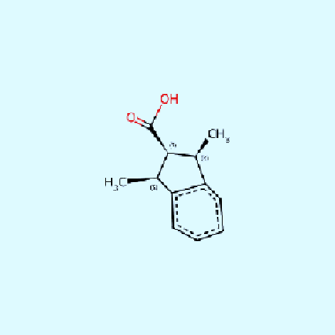 C[C@@H]1c2ccccc2[C@H](C)[C@@H]1C(=O)O